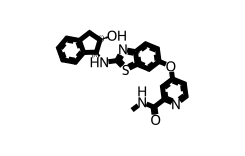 CNC(=O)c1cc(Oc2ccc3nc(N[C@@H]4c5ccccc5C[C@@H]4O)sc3c2)ccn1